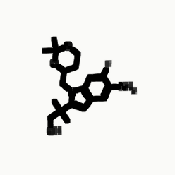 CC1(C)OCCC(Cn2c(C(C)(C)CO)cc3cc(N)c(F)cc32)O1